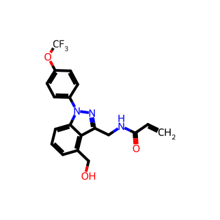 C=CC(=O)NCc1nn(-c2ccc(OC(F)(F)F)cc2)c2cccc(CO)c12